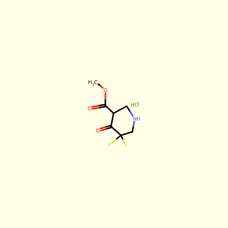 COC(=O)C1CNCC(F)(F)C1=O.Cl